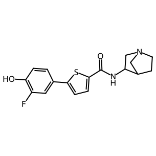 O=C(NC1CN2CCC1C2)c1ccc(-c2ccc(O)c(F)c2)s1